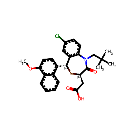 COc1ccc([C@H]2S[C@H](CC(=O)O)C(=O)N(CC(C)(C)C)c3ccc(Cl)cc32)c2ccccc12